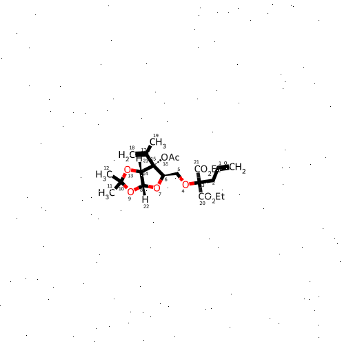 C=CCC(OC[C@H]1O[C@@H]2OC(C)(C)O[C@@H]2[C@@]1(OC(C)=O)C(=C)C)(C(=O)OCC)C(=O)OCC